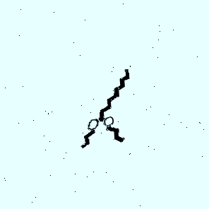 CCC=CC=CCCCC(OCCCC)OCCCC